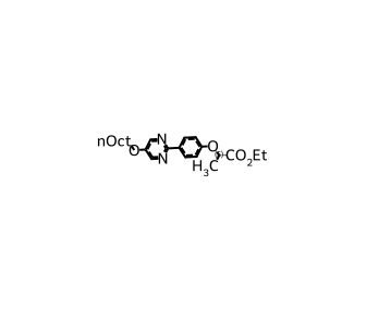 CCCCCCCCOc1cnc(-c2ccc(O[C@@H](C)C(=O)OCC)cc2)nc1